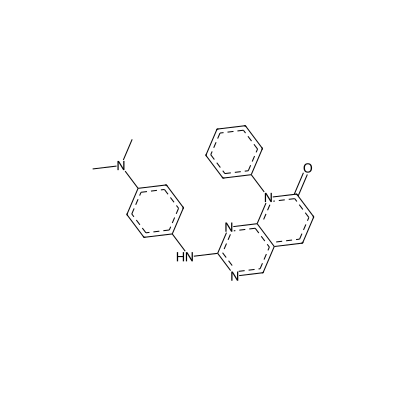 CN(C)c1ccc(Nc2ncc3ccc(=O)n(-c4ccccc4)c3n2)cc1